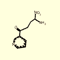 NC(CCC(=O)c1cccnc1)[N+](=O)[O-]